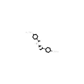 CSc1ccc(-c2csc(NC(=O)c3ccc(NC(C)=O)cc3)n2)cc1